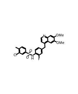 COc1cc2nccc(Cc3ccc(NS(=O)(=O)c4ccc(C)c(Cl)c4)c(F)c3)c2cc1OC